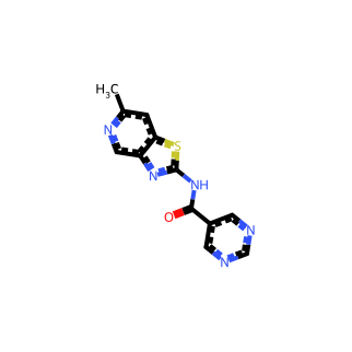 Cc1cc2sc(NC(=O)c3cncnc3)nc2cn1